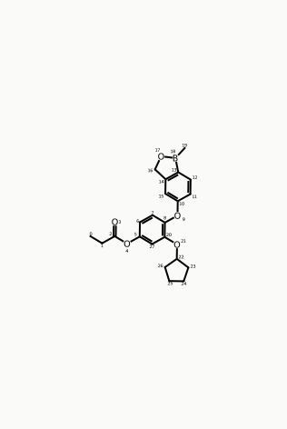 CCC(=O)Oc1ccc(Oc2ccc3c(c2)COB3C)c(OC2CCCC2)c1